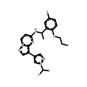 CC(Nc1ccn2ncc(-c3cnn(C(F)F)c3)c2n1)c1cc(F)ccc1OCCF